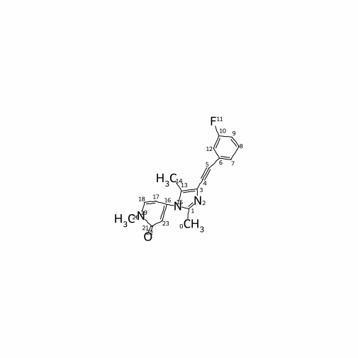 Cc1nc(C#Cc2cccc(F)c2)c(C)n1-c1ccn(C)c(=O)c1